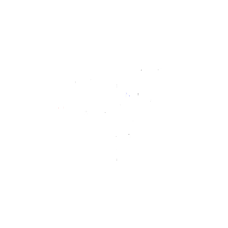 COc1ccc(CN(c2ccc(O)cc2)c2ccc(F)cc2)cc1